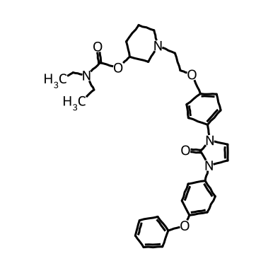 CCN(CC)C(=O)OC1CCCN(CCOc2ccc(-n3ccn(-c4ccc(Oc5ccccc5)cc4)c3=O)cc2)C1